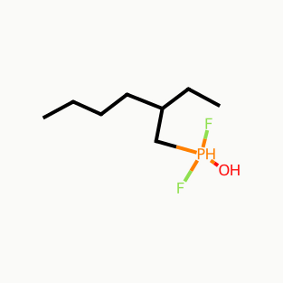 CCCCC(CC)C[PH](O)(F)F